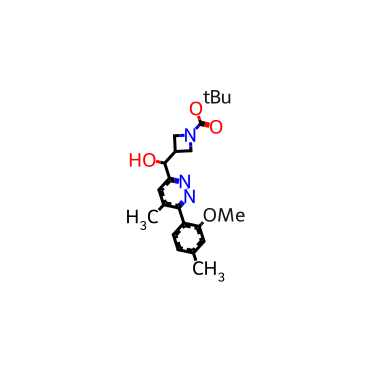 COc1cc(C)ccc1-c1nnc(C(O)C2CN(C(=O)OC(C)(C)C)C2)cc1C